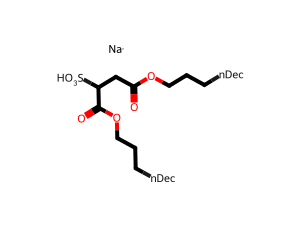 CCCCCCCCCCCCCOC(=O)CC(C(=O)OCCCCCCCCCCCCC)S(=O)(=O)O.[Na]